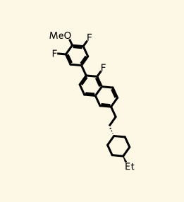 CC[C@H]1CC[C@H](CCc2ccc3c(F)c(-c4cc(F)c(OC)c(F)c4)ccc3c2)CC1